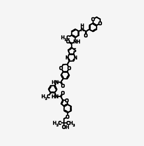 Cc1ccc(NC(=O)c2ccc3c(c2)OCC(c2cnc4sc(C(=O)Nc5cc(NC(=O)c6ccc7c(c6)OCCO7)ccc5C)cc4n2)O3)cc1NC(=O)c1cc2cc(OCC(C)(C)O)ccc2o1